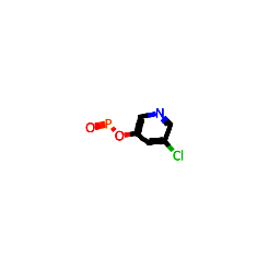 O=POc1cncc(Cl)c1